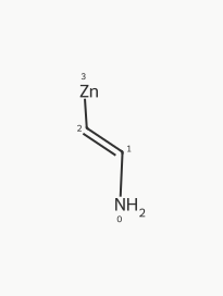 NC=[CH][Zn]